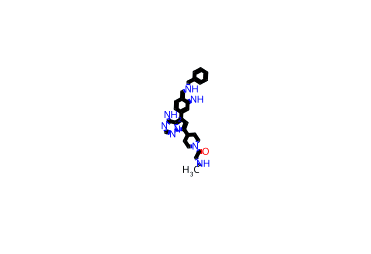 CNCC(=O)N1CCC(c2cc(C3=CC(=N)/C(=C\NCc4ccccc4)C=C3)c3c(N)ncnn23)CC1